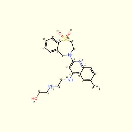 Cc1ccc2nc(N3CCS(=O)(=O)c4ccccc4C3)cc(NCCNCCO)c2c1